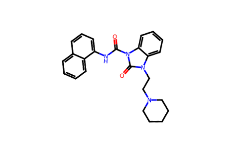 O=C(Nc1cccc2ccccc12)n1c(=O)n(CCN2CCCCC2)c2ccccc21